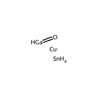 [Cu].[O]=[GaH].[SnH4]